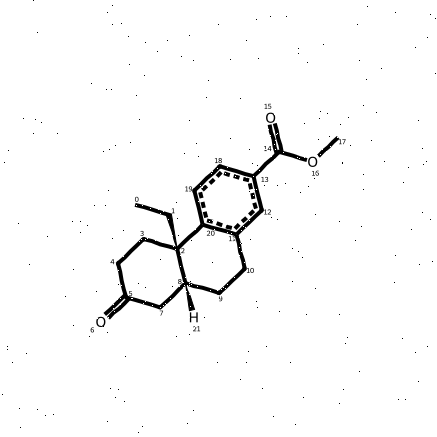 CC[C@]12CCC(=O)C[C@H]1CCc1cc(C(=O)OC)ccc12